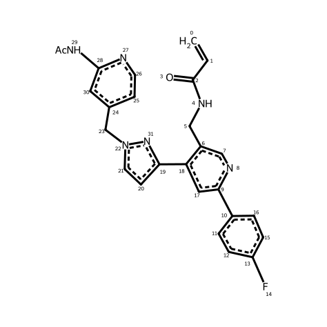 C=CC(=O)NCc1cnc(-c2ccc(F)cc2)cc1-c1ccn(Cc2ccnc(NC(C)=O)c2)n1